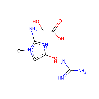 Cn1cc(O)nc1N.N=C(N)N.O=C(O)CO